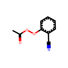 CC(=O)OOc1ccccc1C#N